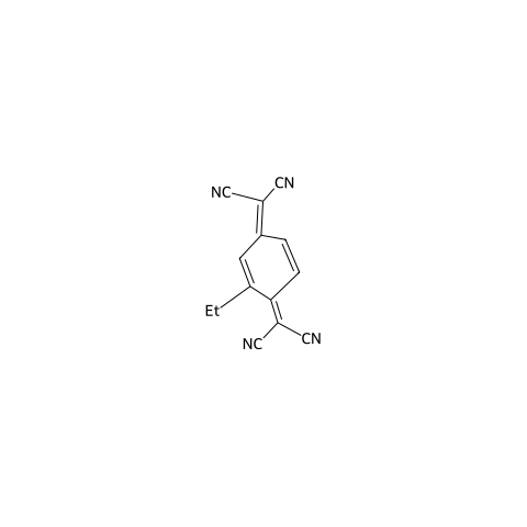 [CH2]Cc1cc(=C(C#N)C#N)ccc1=C(C#N)C#N